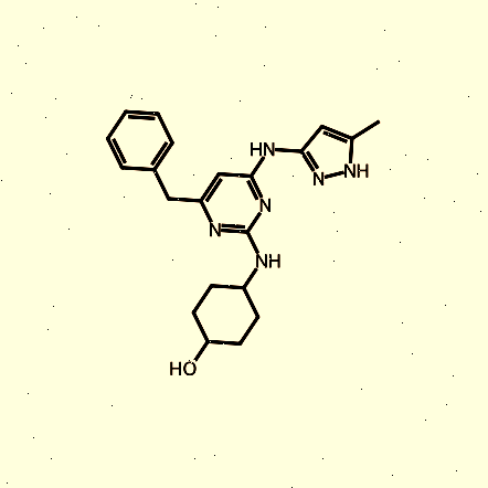 Cc1cc(Nc2cc(Cc3ccccc3)nc(NC3CCC(O)CC3)n2)n[nH]1